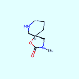 CC(C)(C)N1C[C@@]2(CCCNC2)OC1=O